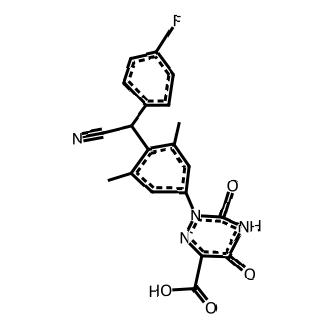 Cc1cc(-n2nc(C(=O)O)c(=O)[nH]c2=O)cc(C)c1C(C#N)c1ccc(F)cc1